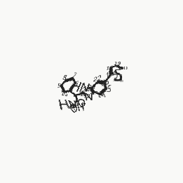 O=C(NO)C(c1ccccc1)c1nc2ccc(-c3cccs3)cc2[nH]1